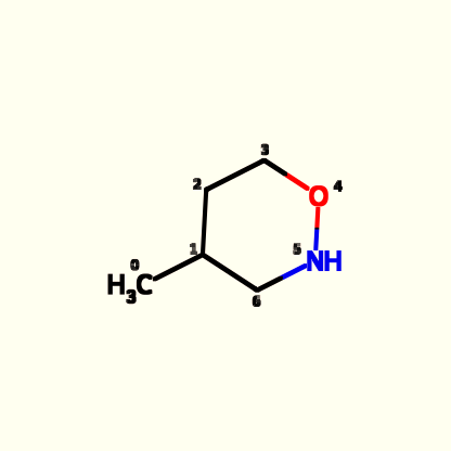 CC1CCONC1